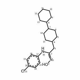 O/N=C(/CC1CCC(C2CCCCC2)CC1)Nc1ccc(Cl)cc1